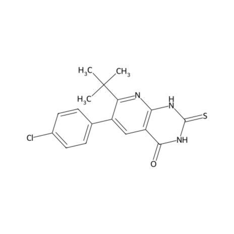 CC(C)(C)c1nc2[nH]c(=S)[nH]c(=O)c2cc1-c1ccc(Cl)cc1